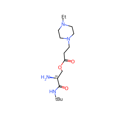 CCN1CCN(CCC(=O)OC[C@H](N)C(=O)NC(C)(C)C)CC1